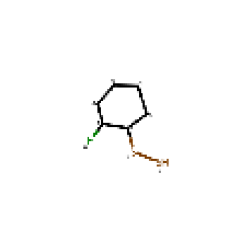 FC1CCCCC1SS